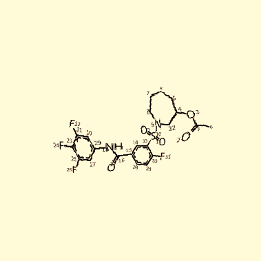 CC(=O)OC1CCCCN(S(=O)(=O)c2cc(C(=O)Nc3cc(F)c(F)c(F)c3)ccc2F)C1